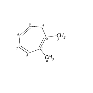 CC1=C(C)CC=CC=C1